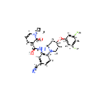 Cn1cccc(C(=O)Nc2cc(C#N)ccc2N2CCC(Oc3cc(F)cc(F)c3)CC2)c1=O